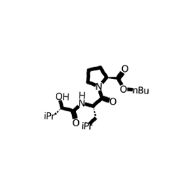 CCCCOC(=O)[C@@H]1CCCN1C(=O)[C@H](CC(C)C)NC(=O)[C@@H](O)C(C)C